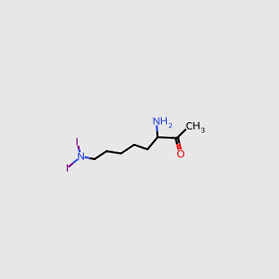 CC(=O)C(N)CCCCCN(I)I